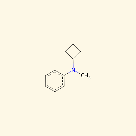 CN(c1ccccc1)C1CCC1